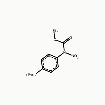 CCCCCc1ccc(N(C(=O)OC(C)(C)C)[N+](=O)[O-])cc1